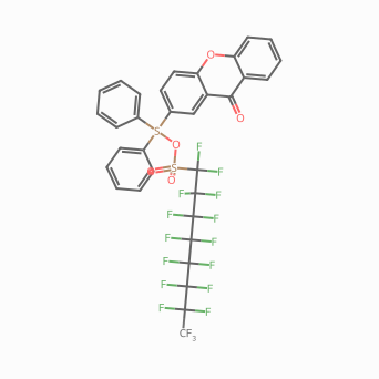 O=c1c2ccccc2oc2ccc(S(OS(=O)(=O)C(F)(F)C(F)(F)C(F)(F)C(F)(F)C(F)(F)C(F)(F)C(F)(F)C(F)(F)F)(c3ccccc3)c3ccccc3)cc12